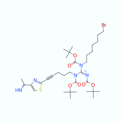 CC(=N)c1csc(C#CCCCN(C(=O)OC(C)(C)C)/C(=N\C(=O)OC(C)(C)C)N(CCCCCCCBr)C(=O)OC(C)(C)C)n1